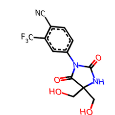 N#Cc1ccc(N2C(=O)NC(CO)(CO)C2=O)cc1C(F)(F)F